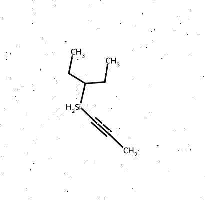 [CH2]C#C[SiH2]C(CC)CC